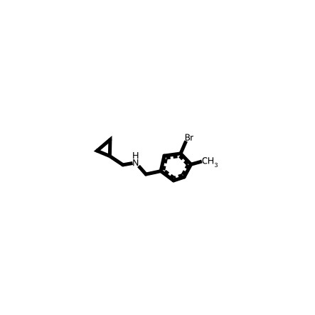 Cc1ccc(CNCC2CC2)cc1Br